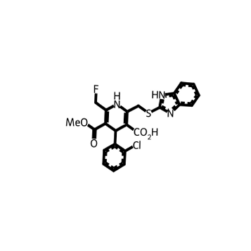 COC(=O)C1=C(CF)NC(CSc2nc3ccccc3[nH]2)=C(C(=O)O)C1c1ccccc1Cl